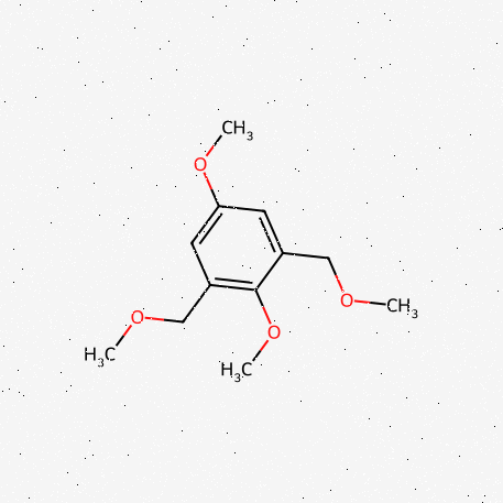 COCc1cc(OC)cc(COC)c1OC